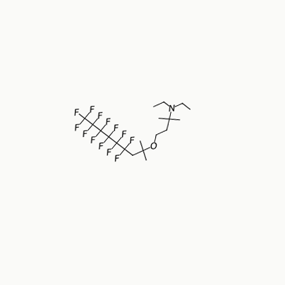 CCN(CC)C(C)(C)CCOC(C)(C)CC(F)(F)C(F)(F)C(F)(F)C(F)(F)C(F)(F)C(F)(F)F